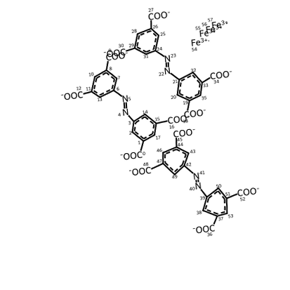 O=C([O-])c1cc(N=Nc2cc(C(=O)[O-])cc(C(=O)[O-])c2)cc(C(=O)[O-])c1.O=C([O-])c1cc(N=Nc2cc(C(=O)[O-])cc(C(=O)[O-])c2)cc(C(=O)[O-])c1.O=C([O-])c1cc(N=Nc2cc(C(=O)[O-])cc(C(=O)[O-])c2)cc(C(=O)[O-])c1.[Fe+3].[Fe+3].[Fe+3].[Fe+3]